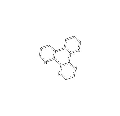 c1cnc2c(c1)c1cccnc1c1nccnc21